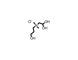 C[N+](C)(CCCO)CC(O)O.[Cl-]